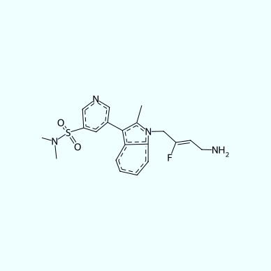 Cc1c(-c2cncc(S(=O)(=O)N(C)C)c2)c2ccccc2n1CC(F)=CCN